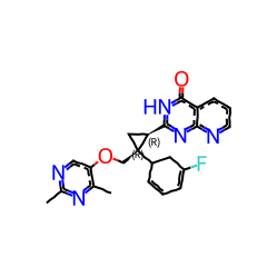 Cc1ncc(OC[C@@]2(C3C=CC=C(F)C3)C[C@H]2c2nc3ncccc3c(=O)[nH]2)c(C)n1